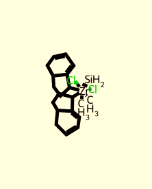 [CH3][Zr]([CH3])(=[SiH2])([Cl])([Cl])([CH]1CCC2CC=CC=C21)[CH]1CCC2CC=CC=C21